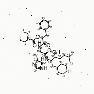 CCN(CC)C(=O)O[C@@H](Cc1ccccc1)C(=O)N[C@@H](Cc1c[nH]cn1)C(=O)N[C@@H](CC1CCCCC1)[C@@H](O)CCC(C)C